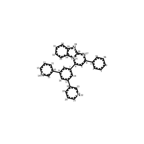 c1ccc(-c2cc(-c3cc(-c4cccnc4)cc(-c4cccnc4)c3)n3c(n2)nc2ccccc23)cc1